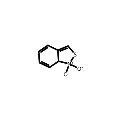 [O-][N+]1([O-])SC=C2C=CC=CC21